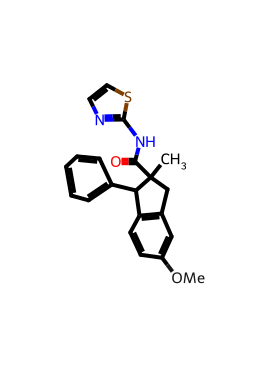 COc1ccc2c(c1)CC(C)(C(=O)Nc1nccs1)C2c1ccccc1